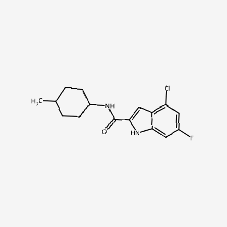 CC1CCC(NC(=O)c2cc3c(Cl)cc(F)cc3[nH]2)CC1